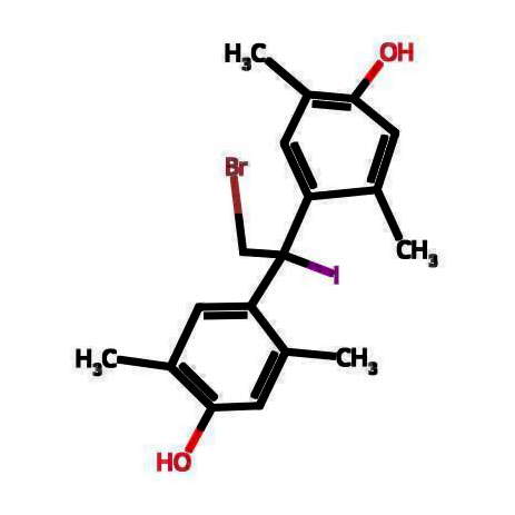 Cc1cc(C(I)(CBr)c2cc(C)c(O)cc2C)c(C)cc1O